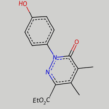 CCOC(=O)c1nn(-c2ccc(O)cc2)c(=O)c(C)c1C